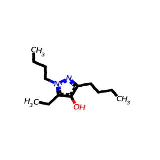 CCCCc1nn(CCCC)c(CC)c1O